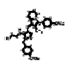 COc1ccc(Cn2ncc(/N=C3\C(C)=C(c4ccc(OC)cc4)[n+]4ccccc43)c2NCCO)cc1